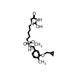 Cc1ccc([C@H](C)NS(=O)(=O)CCCCCN2CC(=O)NC2O)cc1OCC1CC1